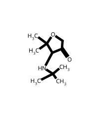 CC(C)(C)NC1C(=O)COC1(C)C